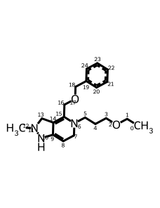 CCOCCCN1CC=C2NN(C)CC2=C1COCc1ccccc1